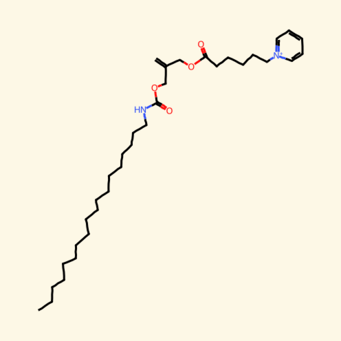 C=C(COC(=O)CCCCC[n+]1ccccc1)COC(=O)NCCCCCCCCCCCCCCCCCC